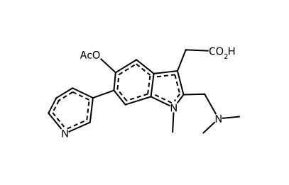 CC(=O)Oc1cc2c(CC(=O)O)c(CN(C)C)n(C)c2cc1-c1cccnc1